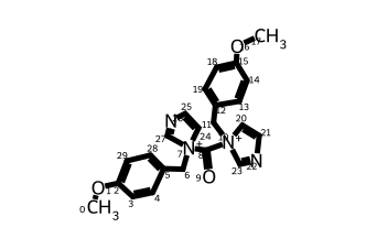 COc1ccc(C[N+]2(C(=O)[N+]3(Cc4ccc(OC)cc4)C=CN=C3)C=CN=C2)cc1